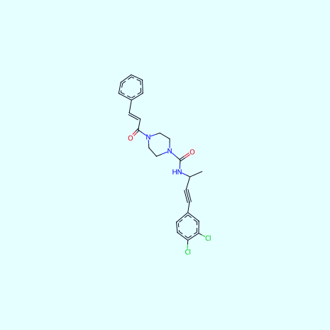 CC(C#Cc1ccc(Cl)c(Cl)c1)NC(=O)N1CCN(C(=O)/C=C/c2ccccc2)CC1